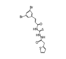 O=C(C=Cc1cc(Br)cc(Br)c1)NC(=S)NNC(=O)Cc1cccs1